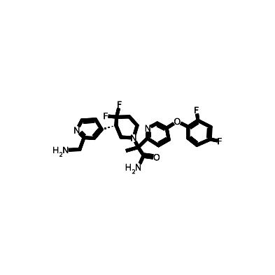 CC(C(N)=O)(c1ccc(Oc2ccc(F)cc2F)cn1)N1CCC(F)(F)[C@@H](c2ccnc(CN)c2)C1